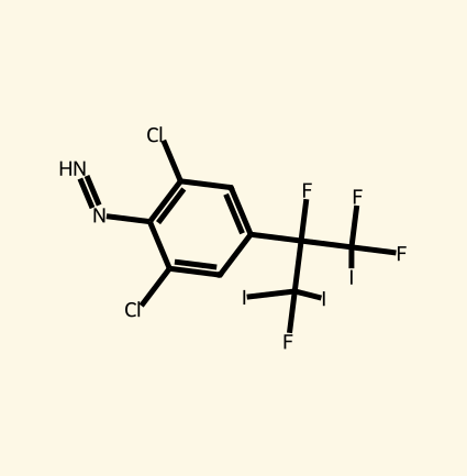 N=Nc1c(Cl)cc(C(F)(C(F)(F)I)C(F)(I)I)cc1Cl